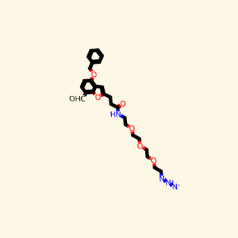 [N-]=[N+]=NCCOCCOCCOCCNC(=O)CCc1cc2c(OCc3ccccc3)ccc(C=O)c2o1